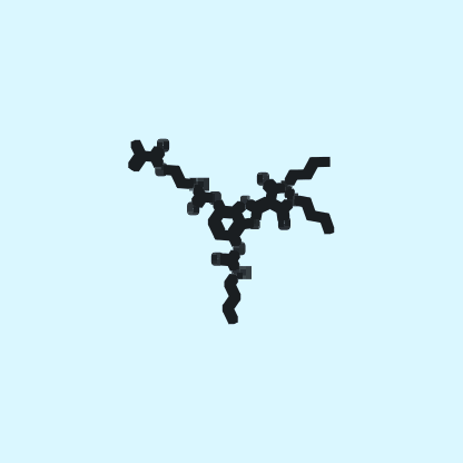 C=C(C)C(=O)OCCNC(=O)Oc1ccc(OC(=O)NCCCC)c2c1SC(=C1C(=O)N(CCCC)N(CCCC)C1=O)S2